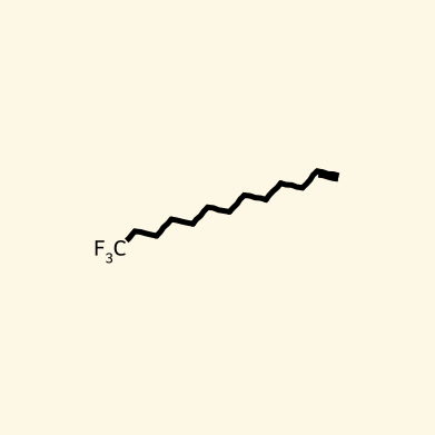 C=CCCCCCCCCCCC(F)(F)F